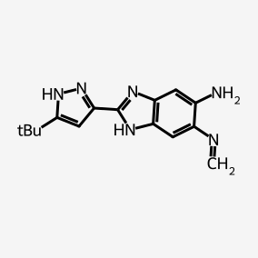 C=Nc1cc2[nH]c(-c3cc(C(C)(C)C)[nH]n3)nc2cc1N